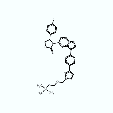 C[Si](C)(C)CCOCn1ccc(-c2ccc(-c3cnn4ccc(N5C(=O)OC[C@@H]5c5ccc(F)cc5)nc34)cc2)n1